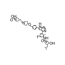 Cc1c(NC(=O)N2CC(O)C(CC(C)C)C2)cc(F)cc1-c1ncnc2[nH]c(-c3ccc(COC4CCN(CCC5CCN(C(=O)O)CC5)CC4)cc3)cc12